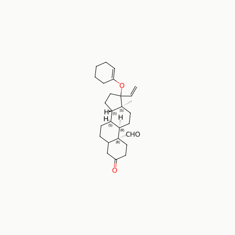 C=CC1(OC2=CCCCC2)CC[C@H]2[C@@H]3CCC4CC(=O)CC[C@]4(C=O)[C@@H]3CC[C@@]21C